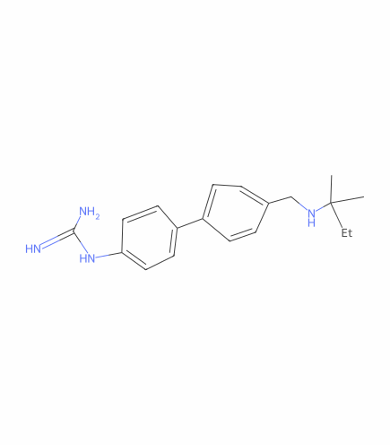 CCC(C)(C)NCc1ccc(-c2ccc(NC(=N)N)cc2)cc1